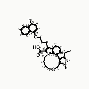 CCc1nn(C)c2c1-c1c(F)ccc3c(CCCOc4ccc(F)c5ccccc45)c(C(=O)O)n(c13)CCCCOC2